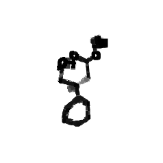 CC(C)(C)OC(=O)C[C@@H](CO)c1ccccc1